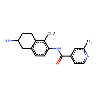 NC1CCc2c(ccc(NC(=O)c3ccnc(C(F)(F)F)c3)c2C=O)C1